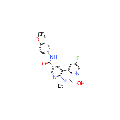 CCN(CCO)c1ncc(C(=O)Nc2ccc(OC(F)(F)F)cc2)cc1-c1cncc(F)c1